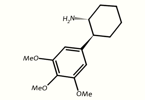 COc1cc([C@@H]2CCCC[C@H]2N)cc(OC)c1OC